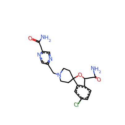 NC(=O)c1cnc(CN2CCC3(CC2)OC(C(N)=O)c2ccc(Cl)cc23)cn1